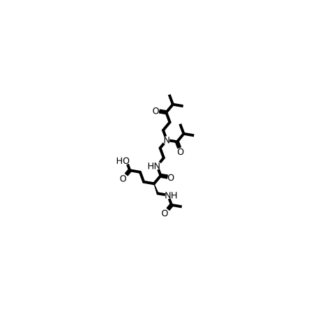 CC(=O)NC[C@@H](CCC(=O)O)C(=O)NCCN(CCC(=O)C(C)C)C(=O)C(C)C